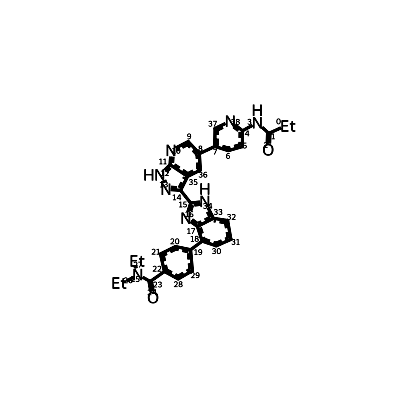 CCC(=O)Nc1ccc(-c2cnc3[nH]nc(-c4nc5c(-c6ccc(C(=O)N(CC)CC)cc6)cccc5[nH]4)c3c2)cn1